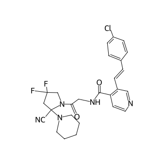 N#CC1(N2CCCCC2)CC(F)(F)CN1C(=O)CNC(=O)c1ccncc1C=Cc1ccc(Cl)cc1